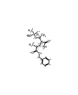 CC(O[Si](C)(C)C(C)(C)C)[C@H]1C(=O)N[C@@H]1[C@H](C)C(=O)OCc1ccccc1